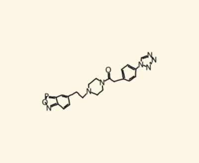 O=C(Cc1ccc(-n2cnnn2)cc1)N1CCN(CCc2ccc3nopc3c2)CC1